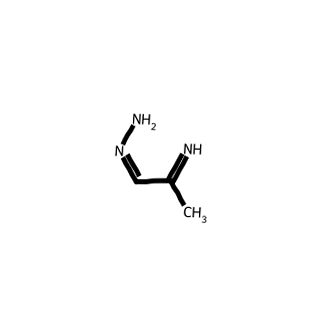 CC(=N)/C=N\N